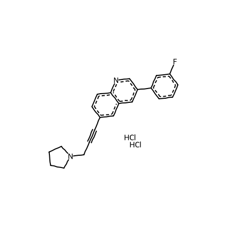 Cl.Cl.Fc1cccc(-c2cnc3ccc(C#CCN4CCCC4)cc3c2)c1